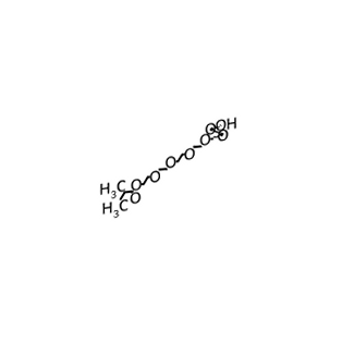 CCC(C)C(=O)OCCOCCOCCOCCOCS(=O)(=O)O